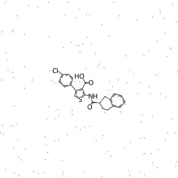 O=C(O)c1c(-c2ccc(Cl)cc2)csc1NC(=O)[C@@H]1CCc2ccccc2C1